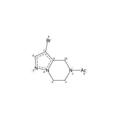 CC(=O)N1CCn2ncc(Br)c2C1